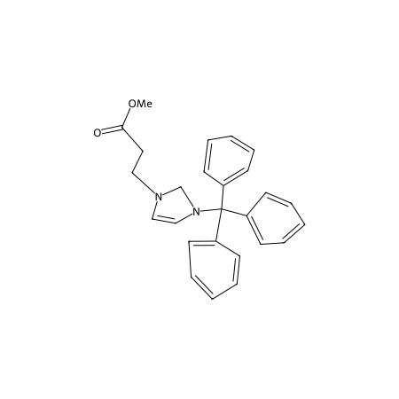 COC(=O)CCN1C=CN(C(c2ccccc2)(c2ccccc2)c2ccccc2)C1